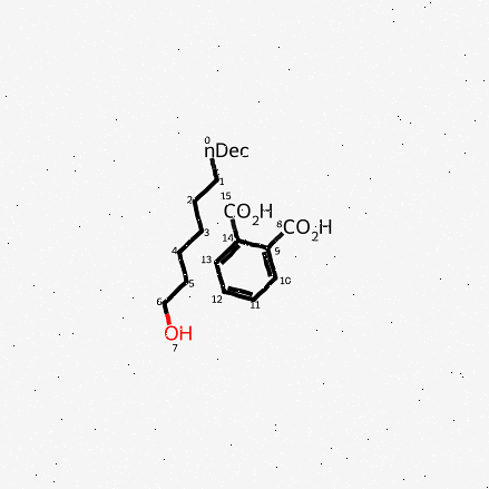 CCCCCCCCCCCCCCCCO.O=C(O)c1ccccc1C(=O)O